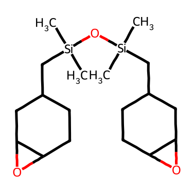 C[Si](C)(CC1CCC2OC2C1)O[Si](C)(C)CC1CCC2OC2C1